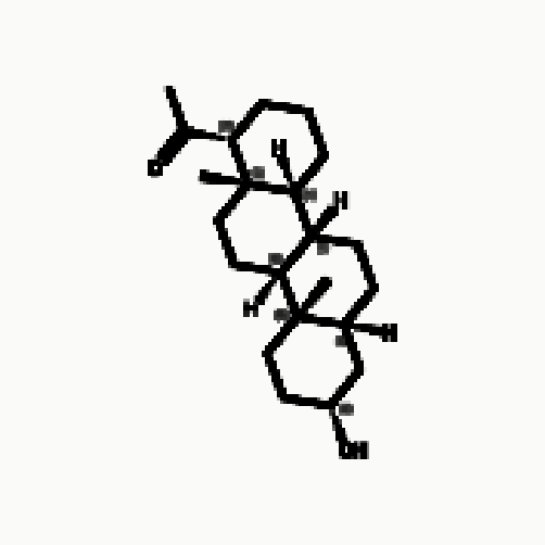 CC(=O)[C@@H]1CCC[C@H]2[C@@H]3CC[C@H]4C[C@H](O)CC[C@]4(C)[C@H]3CC[C@]12C